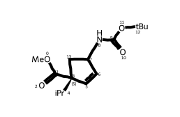 COC(=O)[C@@]1(C(C)C)C=CC(NC(=O)OC(C)(C)C)C1